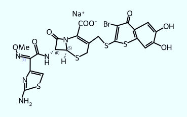 CO/N=C(\C(=O)N[C@@H]1C(=O)N2C(C(=O)[O-])=C(CSc3sc4cc(O)c(O)cc4c(=O)c3Br)CS[C@@H]12)c1csc(N)n1.[Na+]